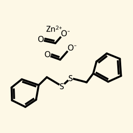 O=C[O-].O=C[O-].[Zn+2].c1ccc(CSSCc2ccccc2)cc1